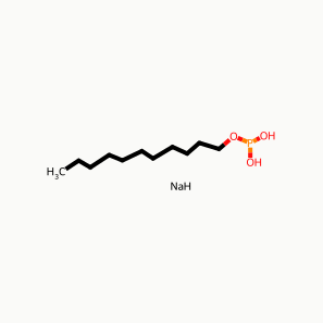 CCCCCCCCCCCOP(O)O.[NaH]